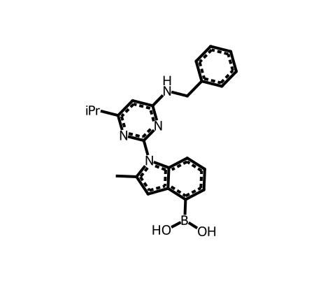 Cc1cc2c(B(O)O)cccc2n1-c1nc(NCc2ccccc2)cc(C(C)C)n1